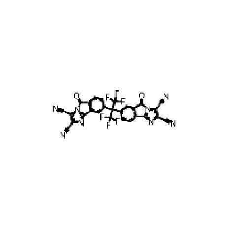 N#Cc1nc2n(c1C#N)C(=O)c1cc(C(c3ccc4c(c3)-c3nc(C#N)c(C#N)n3C4=O)(C(F)(F)F)C(F)(F)F)ccc1-2